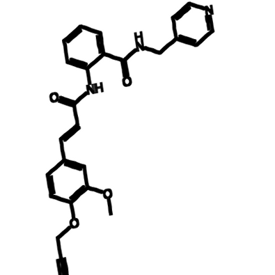 C#CCOc1ccc(C=CC(=O)Nc2ccccc2C(=O)NCc2ccncc2)cc1OC